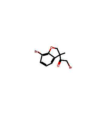 CC1(C(=O)CBr)COc2c(Br)cccc21